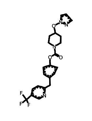 O=C(Oc1ccc(Cc2ccc(C(F)(F)F)cn2)cc1)N1CCC(On2cccn2)CC1